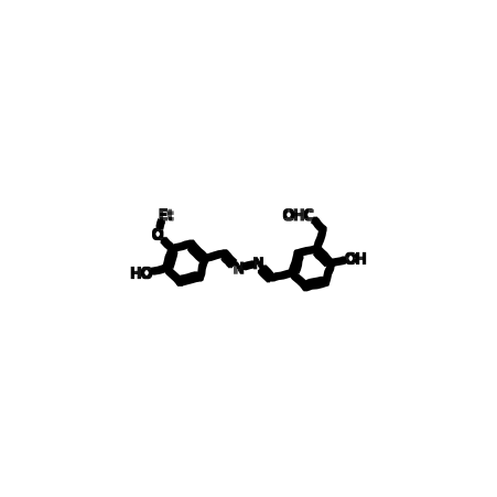 CCOc1cc(/C=N/N=C/c2ccc(O)c(CC=O)c2)ccc1O